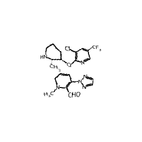 CN1CC=CC(n2nccn2)=C1C=O.C[C@@H]1NCCC[C@H]1Oc1ncc(C(F)(F)F)cc1Cl